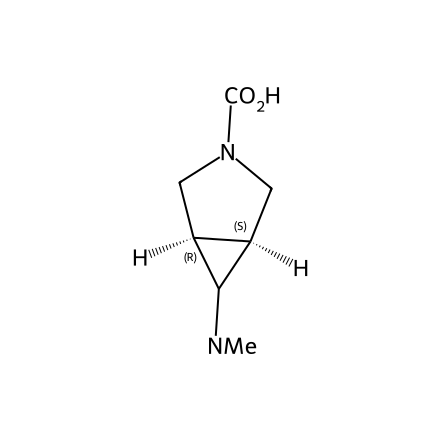 CNC1[C@H]2CN(C(=O)O)C[C@@H]12